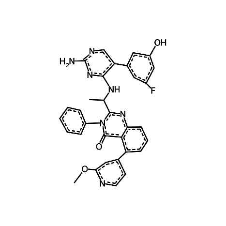 COc1cc(-c2cccc3nc(C(C)Nc4nc(N)ncc4-c4cc(O)cc(F)c4)n(-c4ccccc4)c(=O)c23)ccn1